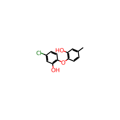 Cc1ccc(Oc2ccc(Cl)cc2O)c(O)c1